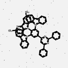 CC(C)(C)c1ccc2c(c1)c1nc(C(C)(C)C)ccc1n2-c1c(-n2c3ccccc3c3ccccc32)cc(-c2cc(-c3ccccc3)nc(-c3ccccc3)n2)cc1-n1c2ccccc2c2ccccc21